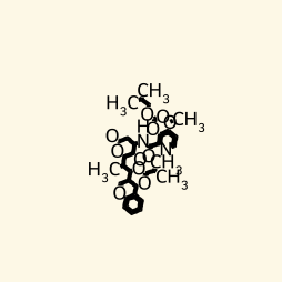 COc1ccnc(C(=O)NC(CC=O)C(=O)C(=O)C(C)C(OC(=O)C(C)C)C(C=O)Cc2ccccc2)c1OC(=O)OCC(C)C